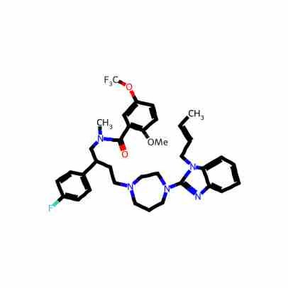 CC=CCn1c(N2CCCN(CCC(CN(C)C(=O)c3cc(OC(F)(F)F)ccc3OC)c3ccc(F)cc3)CC2)nc2ccccc21